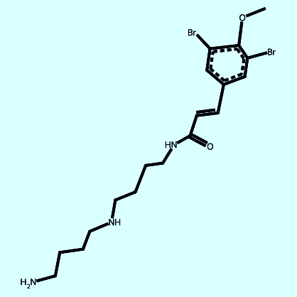 COc1c(Br)cc(/C=C/C(=O)NCCCCNCCCCN)cc1Br